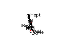 CCCCCCCOc1ccc(-c2cnc(-c3ccc(C[C@H](NC(=O)c4ccc(C(C)(C)C)s4)C(O)N[C@@H](CC(=O)O)C(=O)NCCOC)cc3)nc2)cc1